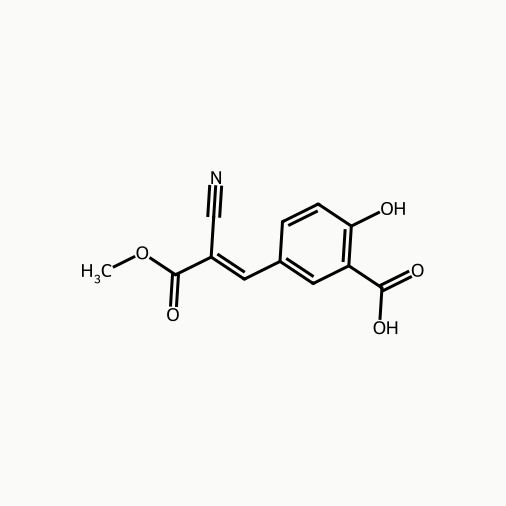 COC(=O)/C(C#N)=C/c1ccc(O)c(C(=O)O)c1